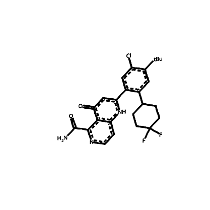 CC(C)(C)c1cc(C2CCC(F)(F)CC2)c(-c2cc(=O)c3c(C(N)=O)nccc3[nH]2)cc1Cl